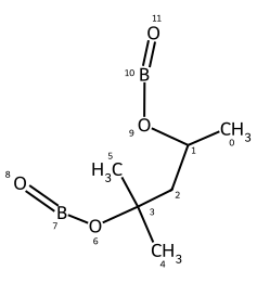 CC(CC(C)(C)OB=O)OB=O